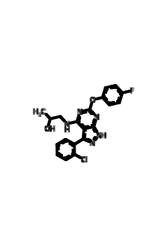 CC(O)CNc1nc(Oc2ccc(F)cc2)nc2[nH]nc(-c3ccccc3Cl)c12